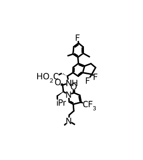 Cc1cc(F)cc(C)c1-c1cc([C@@H](CC(=O)O)NC(=O)[C@H](CC(C)C)n2cc(CCN(C)C)c(C(F)(F)F)cc2=O)cc2c1CCC2(F)F